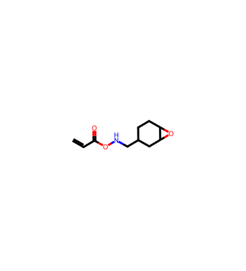 C=CC(=O)ONCC1CCC2OC2C1